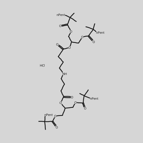 CCCCCC(C)(C)C(=O)OCC(COC(=O)C(C)(C)CCCCC)OC(=O)CCCNCCCC(=O)OC(COC(=O)C(C)(C)CCCCC)COC(=O)C(C)(C)CCCCC.Cl